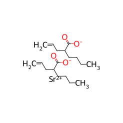 C=CCC(CCCC)C(=O)[O-].C=CCC(CCCC)C(=O)[O-].[Sr+2]